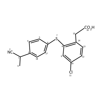 CC(C#N)c1ccc(Sc2cc(Cl)ccc2CC(=O)O)cc1